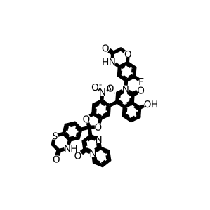 O=C1COc2cc(F)c(-n3[c]c(-c4cc5c(cc4[N+](=O)[O-])OC(c4ccc6c(c4)NC(=O)CS6)(c4cc(=O)n6ccccc6n4)O5)c4cccc(O)c4c3=O)cc2N1